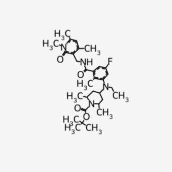 CCN(c1cc(F)cc(C(=O)NCc2c(C)cc(C)n(C)c2=O)c1C)C1CC(C)N(C(=O)OC(C)(C)C)C(C)C1